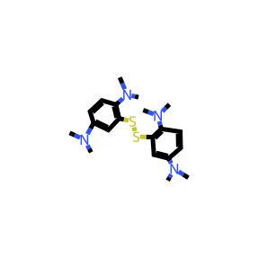 CN(C)c1ccc(N(C)C)c(SSc2cc(N(C)C)ccc2N(C)C)c1